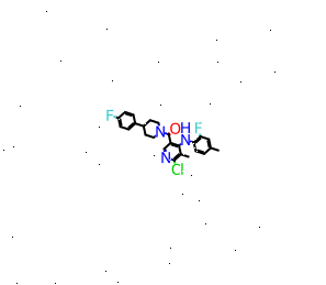 Cc1ccc(Nc2c(C(=O)N3CCC(c4ccc(F)cc4)CC3)cnc(Cl)c2C)c(F)c1